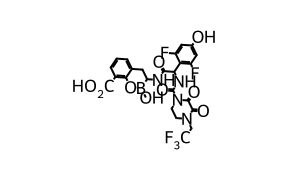 O=C(O)c1cccc2c1OB(O)C(NC(=O)C(NC(=O)N1CCN(CC(F)(F)F)C(=O)C1=O)c1c(F)cc(O)cc1F)C2